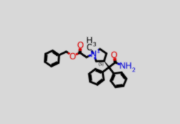 C[N+]1(CC(=O)OCc2ccccc2)CC[C@@H](C(C(N)=O)(c2ccccc2)c2ccccc2)C1